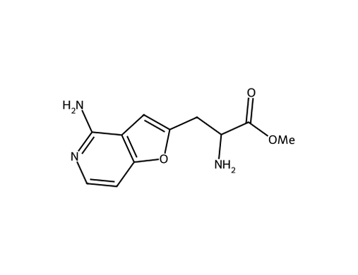 COC(=O)C(N)Cc1cc2c(N)nccc2o1